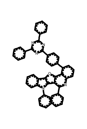 c1ccc(-c2nc(-c3ccccc3)nc(-c3ccc(-c4cccc5nc(-c6ccccc6)c6c(oc7c8ccccc8n(-c8ccccc8)c76)c45)cc3)n2)cc1